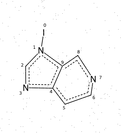 In1cnc2ccncc21